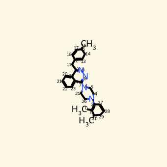 CC1=C(N2CCN(c3nnc(CC4=CCC(C)C=C4)c4ccccc34)CC2)C=CCC1C